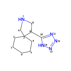 C1CCC2(CC1)CNCC2c1nnn[nH]1